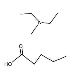 CCCCC(=O)O.CCN(C)CC